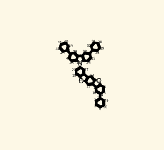 c1ccc(-c2ccc3oc4cc5c(cc4c3c2)oc2ccc(-n3c4ccc(-c6ccccc6)cc4c4cc(-c6ccccc6)ccc43)cc25)cc1